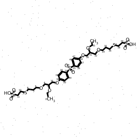 CCOC(COCCCSCCS(=O)(=O)O)COc1ccc(S(=O)(=O)c2ccc(OCC(COCCCSCCS(=O)(=O)O)OCC)cc2)cc1